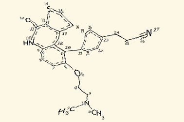 CN(C)CCOc1ccc2[nH]c(=O)c3sccc3c2c1-c1ccc(CCC#N)cc1